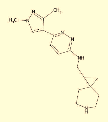 Cc1nn(C)cc1-c1ccc(NCC2CC23CCNCC3)nn1